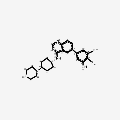 Oc1cc(-c2ccc3ncnc(N[C@H]4CC[C@H](N5CCOCC5)CC4)c3c2)cc(F)c1F